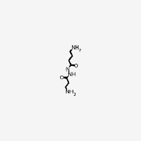 NCCCC(=O)[N]NC(=O)CCN